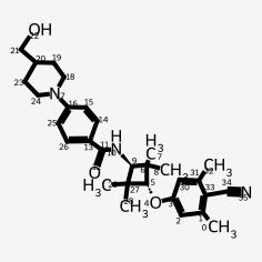 Cc1cc(O[C@H]2C(C)(C)[C@H](NC(=O)c3ccc(N4CCC(CO)CC4)cc3)C2(C)C)cc(C)c1C#N